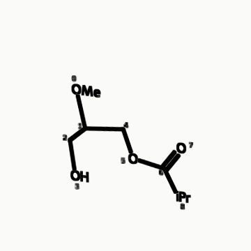 COC(CO)COC(=O)C(C)C